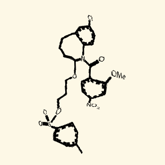 COc1cc([N+](=O)[O-])ccc1C(=O)N1c2ccc(Cl)cc2CCCC1OCCCOS(=O)(=O)c1ccc(C)cc1